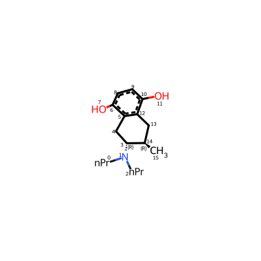 CCCN(CCC)[C@@H]1Cc2c(O)ccc(O)c2C[C@H]1C